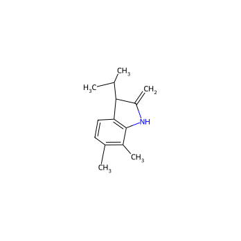 C=C1Nc2c(ccc(C)c2C)C1C(C)C